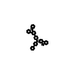 CC1(C)c2ccccc2-c2ccc(N(c3ccc(-c4ccccc4)cc3)C3C=CC(c4ccc5c(c4)c4ccccc4n5-c4ccccc4)=CC3)cc21